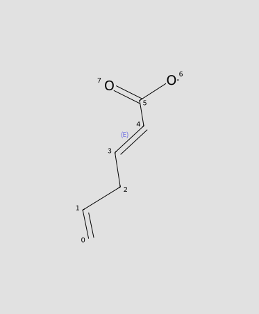 C=CC/C=C/C([O])=O